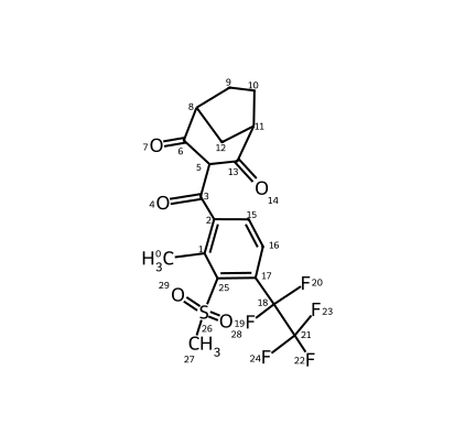 Cc1c(C(=O)C2C(=O)C3CCC(C3)C2=O)ccc(C(F)(F)C(F)(F)F)c1S(C)(=O)=O